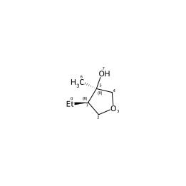 CC[C@@H]1COC[C@]1(C)O